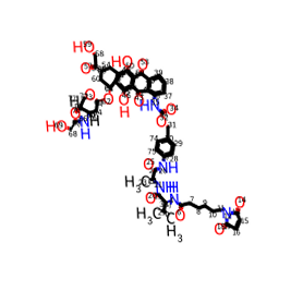 CC(C)[C@H](NC(=O)CCCCCN1C(=O)C=CC1=O)C(=O)N[C@@H](C)C(=O)Nc1ccc(COC(=O)Nc2cccc3c2C(=O)c2c(O)c4c(c(O)c2C3=O)C[C@@H](C(=O)CO)C[C@@H]4O[C@H]2C[C@@H]3N[C@@H](CO)O[C@@H]3CO2)cc1